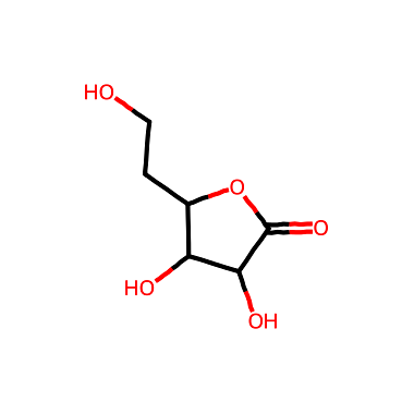 O=C1OC(CCO)C(O)C1O